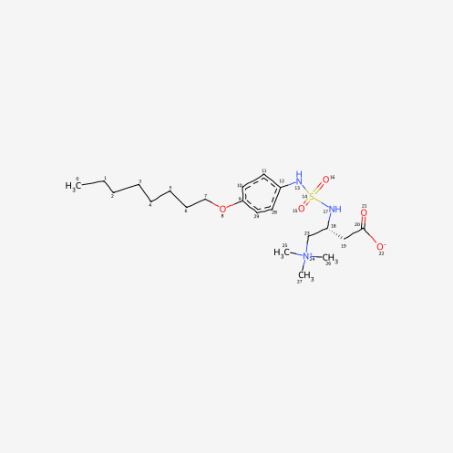 CCCCCCCCOc1ccc(NS(=O)(=O)N[C@H](CC(=O)[O-])C[N+](C)(C)C)cc1